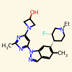 CCN1CC[C@H](c2cc3c(cnn3-c3cc(N4CC(O)C4)nc(C)n3)cc2C)[C@H](F)C1